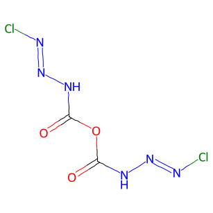 O=C(N/N=N/Cl)OC(=O)N/N=N/Cl